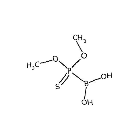 COP(=S)(OC)B(O)O